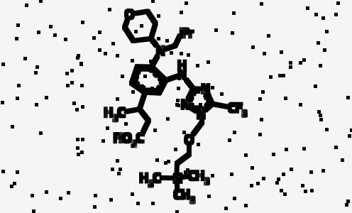 CC(C)CN(c1ccc(C(C)CC(=O)O)cc1Nc1nc(C(F)(F)F)n(COCC[Si](C)(C)C)n1)C1CCOCC1